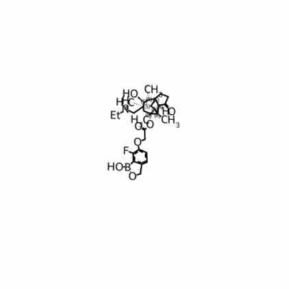 CCNC[C@]1(C)C[C@@H](OC(=O)COc2ccc3c(c2F)B(O)OC3)[C@]2(C)[C@H](C)CC[C@]3(CCC(=O)[C@H]32)[C@@H](C)[C@@H]1O